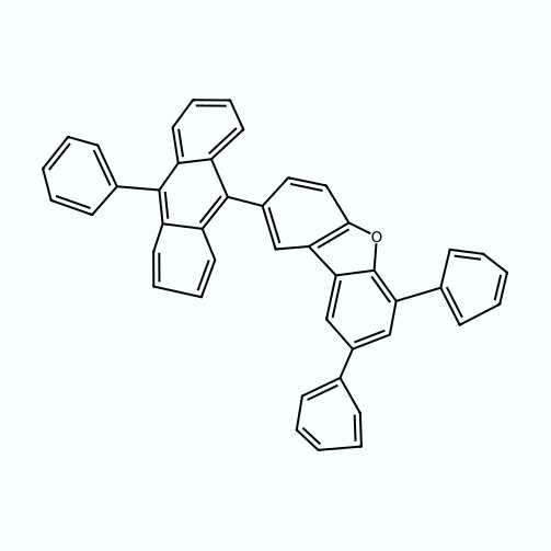 c1ccc(-c2cc(-c3ccccc3)c3oc4ccc(-c5c6ccccc6c(-c6ccccc6)c6ccccc56)cc4c3c2)cc1